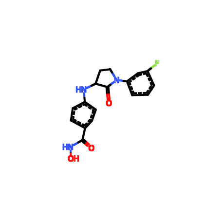 O=C(NO)c1ccc(NC2CCN(c3cccc(F)c3)C2=O)cc1